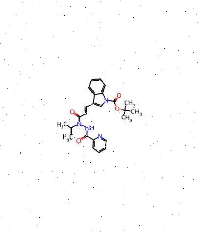 CC(C)N(NC(=O)c1ccccn1)C(=O)C=Cc1cn(C(=O)OC(C)(C)C)c2ccccc12